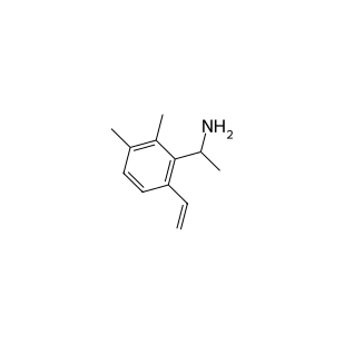 C=Cc1ccc(C)c(C)c1C(C)N